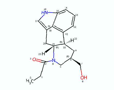 CCC(=O)N1C[C@H](CO)C[C@@H]2c3cccc4[nH]cc(c34)C[C@H]21